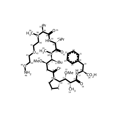 CC[C@H](C)[C@@H]([C@@H](CC(=O)N1CCC[C@H]1[C@H](OC)[C@@H](C)C(=O)N[C@@H](Cc1ccccc1)C(=O)O)OC)N(C)C(=O)[C@H](NC(=O)[C@H](C(C)C)N(C)CCOCCON)C(C)C